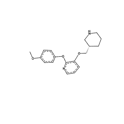 COc1ccc(Oc2ncccc2OC[C@H]2CCCNC2)cc1